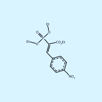 CCOC(=O)/C(=C\c1ccc([N+](=O)[O-])cc1)P(=O)(OCC)OCC